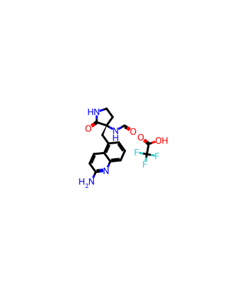 Nc1ccc2c(C[C@]3(NC=O)CCNC3=O)cccc2n1.O=C(O)C(F)(F)F